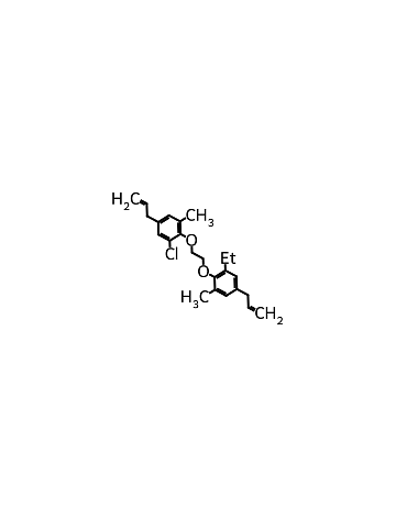 C=CCc1cc(C)c(OCCOc2c(C)cc(CC=C)cc2CC)c(Cl)c1